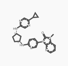 Cn1c(=O)n(-c2ccc(N[C@H]3CC[C@H](Nc4cnc(C5CC5)cn4)C3)nc2)c2ncccc21